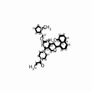 C=CC(=O)N1CCN(c2nc(OC[C@@H]3CCCN3C)nc3c2COC(c2cccc4cccc(C)c24)C3)CC1